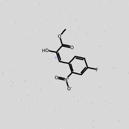 COC(=O)/C(O)=C\c1ccc(F)cc1[N+](=O)[O-]